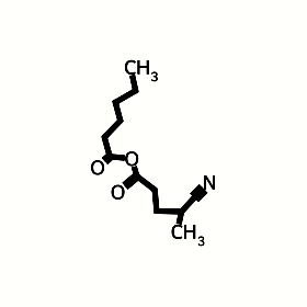 CCCCCC(=O)OC(=O)CCC(C)C#N